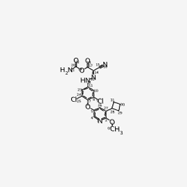 COc1ncc(Oc2c(Cl)cc(NN=C(C#N)C(=O)OC(N)=O)cc2Cl)cc1C1CCC1